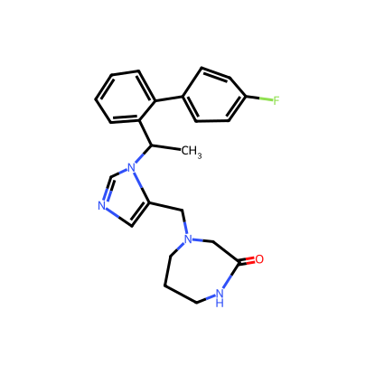 CC(c1ccccc1-c1ccc(F)cc1)n1cncc1CN1CCCNC(=O)C1